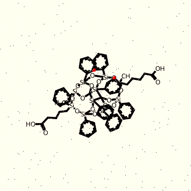 C[Si]1(CCCCC(=O)O)O[Si]2(c3ccccc3)OC34O[Si](c5ccccc5)(O2)O[Si]2(c5ccccc5)O[Si](C)(CCCCC(=O)O)O[Si]5(c6ccccc6)OC6(O[Si](c7ccccc7)(O5)O[Si](c5ccccc5)(O1)O[Si]63c1ccccc1)[Si]4(c1ccccc1)O2